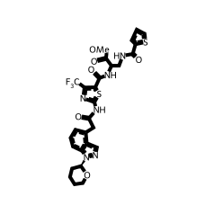 COC(=O)C(CNC(=O)c1cccs1)NC(=O)c1sc(NC(=O)Cc2cccc3c2cnn3[C@@H]2CCCCO2)nc1C(F)(F)F